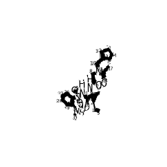 C=C[C@@H]1C[C@]1(NC(=O)CN(CC1CCCC1)C(C)=O)C(=O)NS(=O)(=O)c1ccccc1NC